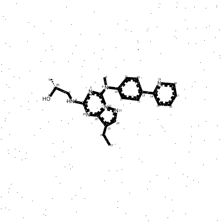 [CH2][C@@H](O)CNc1nc(N(C)c2ccc(-c3ccccn3)cc2)n2ncc(CC)c2n1